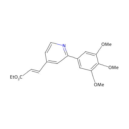 CCOC(=O)C=Cc1ccnc(-c2cc(OC)c(OC)c(OC)c2)c1